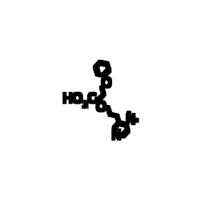 CN(C)c1ccncc1CCCOC(CCOc1ccccc1)C(=O)O